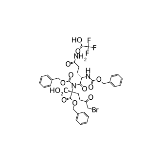 NC(=O)CC[C@H](NC(=O)OCc1ccccc1)C(=O)N(C(=O)OCc1ccccc1)[C@@](CCC(=O)CBr)(C(=O)O)C(=O)OCc1ccccc1.O=C(O)C(F)(F)F